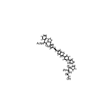 CC(=O)N[C@@H](C(=O)N1CCCC1c1nc(C#Cc2cc3sc(-c4ccc(-c5cnc([C@@H]6CCCN6C(=O)[C@@H](NC(=O)CO)C(C)C)[nH]5)cc4)cc3s2)c[nH]1)c1ccccc1